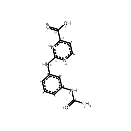 CC(=O)Nc1cccc(Nc2nccc(C(=O)O)n2)c1